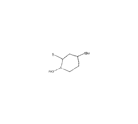 CC(C)(C)C1CCC(O)C(F)C1